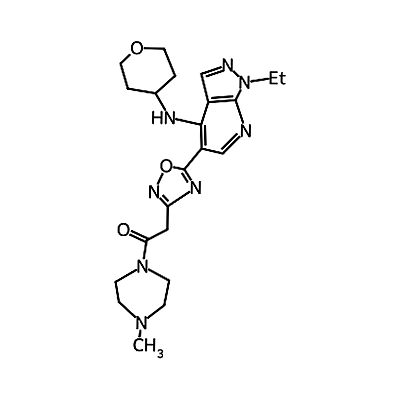 CCn1ncc2c(NC3CCOCC3)c(-c3nc(CC(=O)N4CCN(C)CC4)no3)cnc21